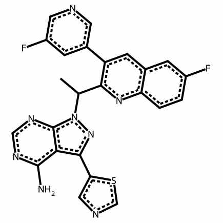 CC(c1nc2ccc(F)cc2cc1-c1cncc(F)c1)n1nc(-c2cncs2)c2c(N)ncnc21